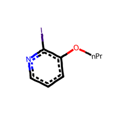 CCCOc1cccnc1I